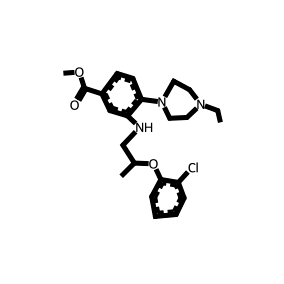 CCN1CCN(c2ccc(C(=O)OC)cc2NCC(C)Oc2ccccc2Cl)CC1